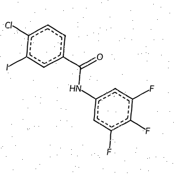 O=C(Nc1cc(F)c(F)c(F)c1)c1ccc(Cl)c(I)c1